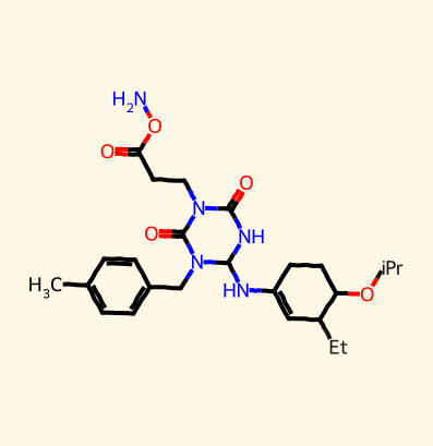 CCC1C=C(NC2NC(=O)N(CCC(=O)ON)C(=O)N2Cc2ccc(C)cc2)CCC1OC(C)C